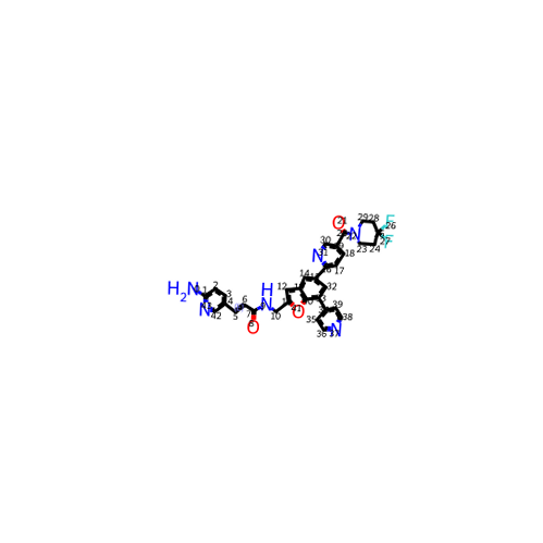 Nc1ccc(/C=C/C(=O)NCc2cc3cc(-c4ccc(C(=O)N5CCC(F)(F)CC5)cn4)cc(-c4ccncc4)c3o2)cn1